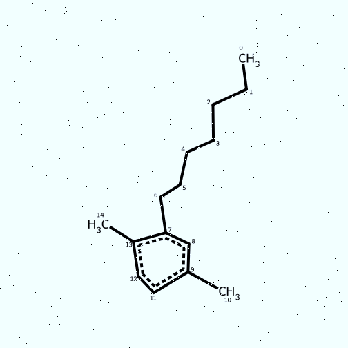 CCCCCC[CH]c1cc(C)ccc1C